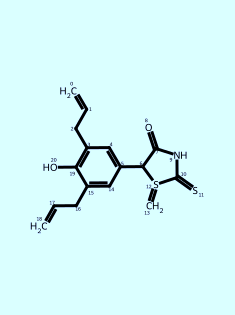 C=CCc1cc(C2C(=O)NC(=S)S2=C)cc(CC=C)c1O